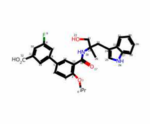 CC(C)Oc1ccc(-c2cc(F)cc(C(=O)O)c2)cc1C(=O)NC(C)(CO)Cc1c[nH]c2ccccc12